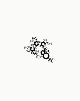 C=C(C)[C@H]1CCC[C@H]2[C@](C)(CCC1)CCC[C@@]2(C)C(=O)O[C@@H]1O[C@H](CO)[C@@H](O)[C@H](O)[C@H]1O[C@@H]1O[C@H](CO)[C@@H](O)[C@H](O)[C@H]1O[C@@H]1O[C@H](CO)[C@@H](O)[C@H](O)[C@H]1NC(C)=O